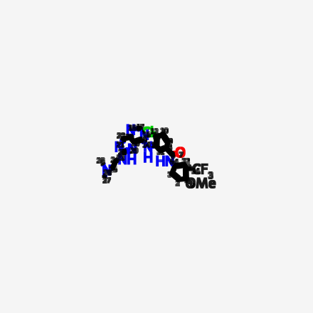 COc1ccc(NC(=O)c2ccc(Cl)c(Nc3ncnc4cnc(NCCN(C)C)nc34)c2)cc1C(F)(F)F